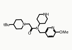 COc1ccc(CN(C(=O)CN2CCC(C(C)(C)C)CC2)C2CCNCC2)cn1